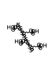 Cc1cc2c(s1)-c1sc(-c3cc4c(s3)-c3sc(-c5cc6c(s5)-c5sc(-c7cc8c(s7)-c7sccc7C8CCCCS(=O)(=O)O)cc5C6CS(=O)(=O)O)cc3C4CCCCS(=O)(=O)O)cc1C2CS(=O)(=O)O